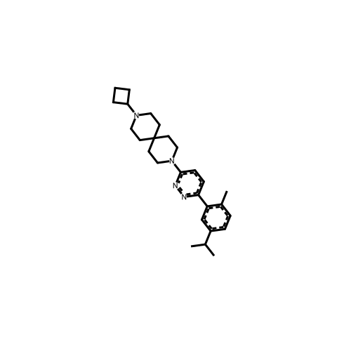 Cc1ccc(C(C)C)cc1-c1ccc(N2CCC3(CC2)CCN(C2CCC2)CC3)nn1